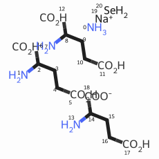 N.NC(CCC(=O)O)C(=O)O.NC(CCC(=O)O)C(=O)O.NC(CCC(=O)O)C(=O)[O-].[Na+].[SeH2]